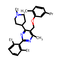 CCc1cccc(CC)c1-c1nc(C)c(COc2cc(C(C)C)ccc2C)c(C2CCN(CC)CC2)n1